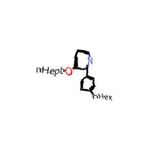 CCCCCCCOc1cccnc1-c1ccc(CCCCCC)cc1